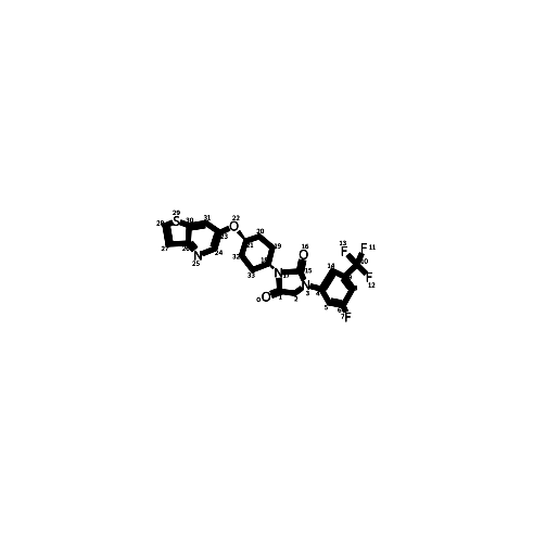 O=C1CN(c2cc(F)cc(C(F)(F)F)c2)C(=O)N1[C@H]1CC[C@H](Oc2cnc3ccsc3c2)CC1